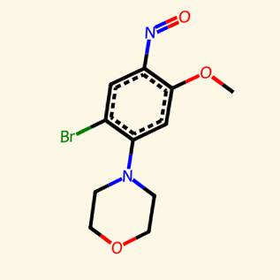 COc1cc(N2CCOCC2)c(Br)cc1N=O